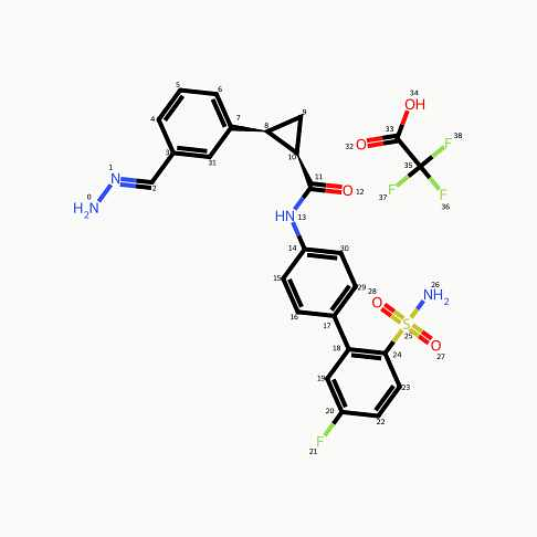 NN=Cc1cccc([C@H]2C[C@H]2C(=O)Nc2ccc(-c3cc(F)ccc3S(N)(=O)=O)cc2)c1.O=C(O)C(F)(F)F